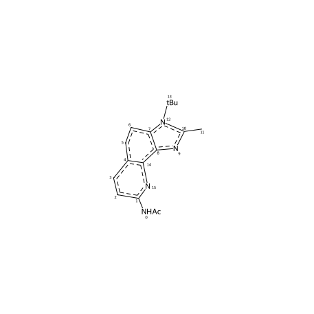 CC(=O)Nc1ccc2ccc3c(nc(C)n3C(C)(C)C)c2n1